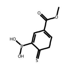 COC(=O)C1=CCC(=S)C(B(O)O)=C1